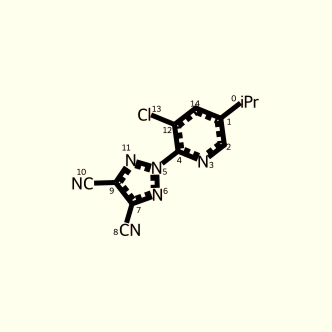 CC(C)c1cnc(-n2nc(C#N)c(C#N)n2)c(Cl)c1